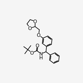 CC(C)(C)OC(=O)NC(c1ccccc1)c1cccc(OCC2OCCO2)c1